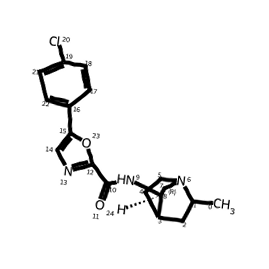 CC1CC2CCN1C[C@@H]2NC(=O)c1ncc(-c2ccc(Cl)cc2)o1